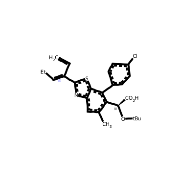 C=C/C(=C\CC)c1nc2cc(C)c([C@H](OC(C)(C)C)C(=O)O)c(-c3ccc(Cl)cc3)c2s1